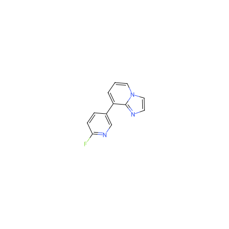 Fc1ccc(-c2cccn3ccnc23)cn1